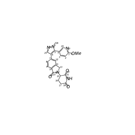 COc1ccc(-c2c(-c3ccc4c(c3)CN(C3CCC(=O)NC3=O)C4=O)cnn2C)cn1